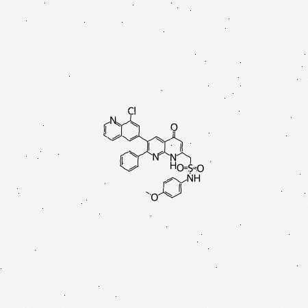 COc1ccc(NS(=O)(=O)Cc2cc(=O)c3cc(-c4cc(Cl)c5ncccc5c4)c(-c4ccccc4)nc3[nH]2)cc1